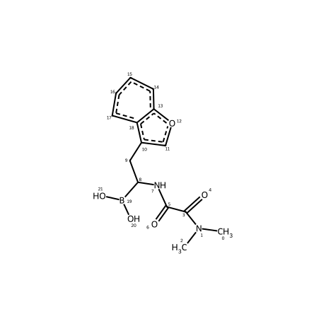 CN(C)C(=O)C(=O)NC(Cc1coc2ccccc12)B(O)O